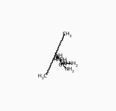 CCCCCCCCCCCCCCCCCC(CCCCCCCCCCCCCCCCC)NC(=O)CNC(=O)CNC(=O)[C@H](CCCN)NCCCN